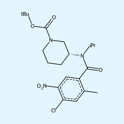 Cc1cc(Cl)c([N+](=O)[O-])cc1C(=O)N(C(C)C)[C@@H]1CCCN(C(=O)OC(C)(C)C)C1